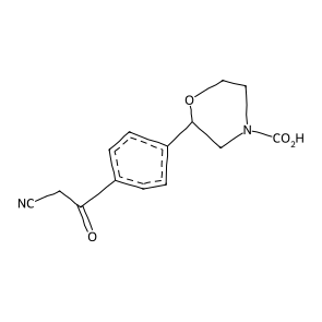 N#CCC(=O)c1ccc(C2CN(C(=O)O)CCO2)cc1